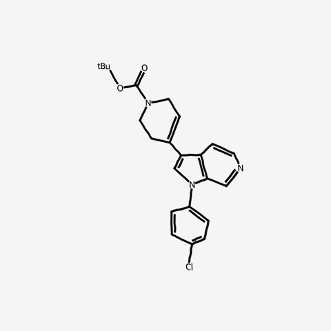 CC(C)(C)OC(=O)N1CC=C(c2cn(-c3ccc(Cl)cc3)c3cnccc23)CC1